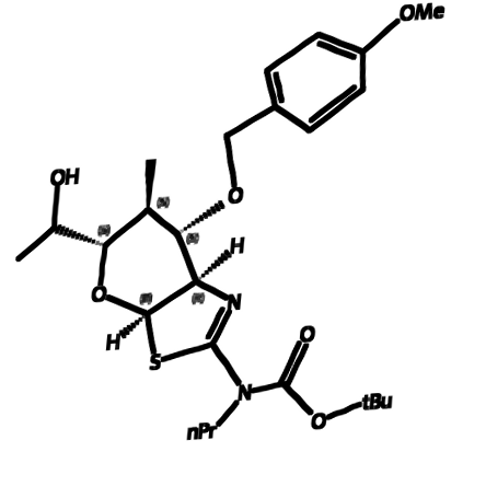 CCCN(C(=O)OC(C)(C)C)C1=N[C@@H]2[C@@H](OCc3ccc(OC)cc3)[C@H](C)[C@@H](C(C)O)O[C@@H]2S1